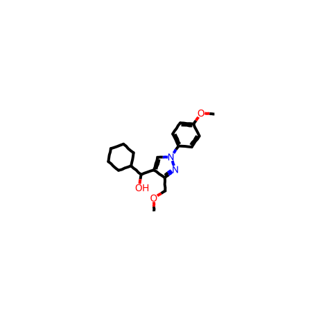 COCc1nn(-c2ccc(OC)cc2)cc1C(O)C1CCCCC1